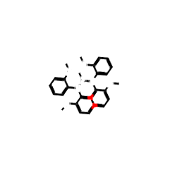 COc1ccccc1P(c1ccccc1OC)N(C)P(c1ccccc1OC)c1ccccc1OC